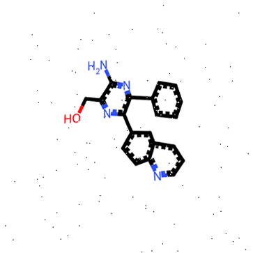 Nc1nc(-c2ccccc2)c(-c2ccc3ncccc3c2)nc1CO